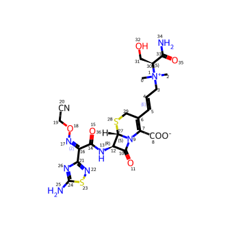 C[N+](C)(C/C=C/C1=C(C(=O)[O-])N2C(=O)[C@@H](NC(=O)/C(=N\OCC#N)c3nsc(N)n3)[C@@H]2SC1)[C@@H](CO)C(N)=O